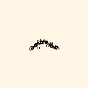 O=C(Nc1ccc(Nc2ccc(NC(=O)c3ccc(N4CCOCC4)cc3)cc2)cc1)c1ccc(N2CCOCC2)cc1